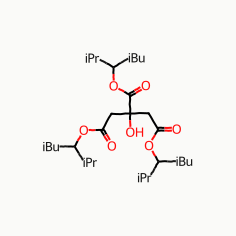 CCC(C)C(OC(=O)CC(O)(CC(=O)OC(C(C)C)C(C)CC)C(=O)OC(C(C)C)C(C)CC)C(C)C